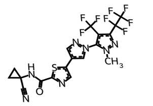 Cn1nc(C(F)(F)C(F)(F)F)c(C(F)(F)F)c1-n1cc(-c2cnc(C(=O)NC3(C#N)CC3)s2)cn1